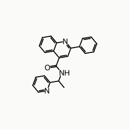 CC(NC(=O)c1cc(-c2ccccc2)nc2ccccc12)c1ccccn1